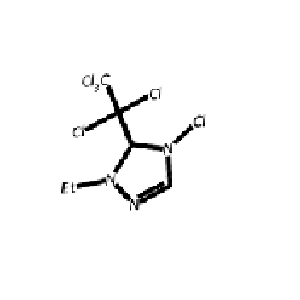 CCN1N=CN(Cl)C1C(Cl)(Cl)C(Cl)(Cl)Cl